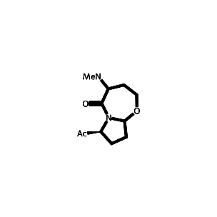 CNC1CCOC2CC[C@@H](C(C)=O)N2C1=O